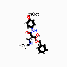 CCCCCCCCOc1ccc(NC(=O)[C@H](CNC(=O)O)C(=O)OCc2ccccc2)cc1